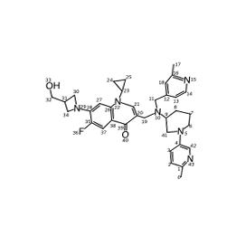 Cc1ccc(N2CCCC(N(Cc3ccnc(C)c3)Cc3cn(C4CC4)c4cc(N5CC(CO)C5)c(F)cc4c3=O)C2)cn1